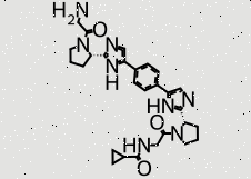 NCC(=O)N1CCC[C@H]1c1ncc(-c2ccc(-c3cnc([C@@H]4CCCN4C(=O)CNC(=O)C4CC4)[nH]3)cc2)[nH]1